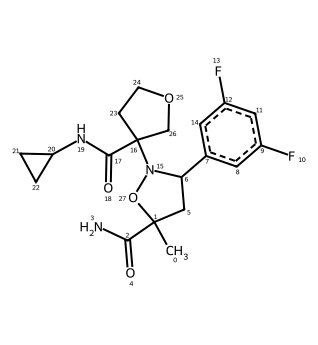 CC1(C(N)=O)CC(c2cc(F)cc(F)c2)N(C2(C(=O)NC3CC3)CCOC2)O1